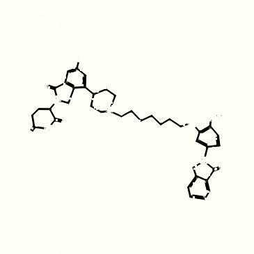 COc1ccc(N2Cc3ccccc3C2=O)cc1OCCCCCCCN1CCC(c2cc(F)cc3c2CN(C2CCC(=O)NC2=O)C3=O)CC1